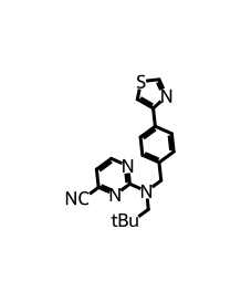 CC(C)(C)CN(Cc1ccc(-c2cscn2)cc1)c1nccc(C#N)n1